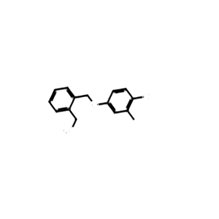 Cc1cc(OCc2ccccc2CC#N)ccc1Cl